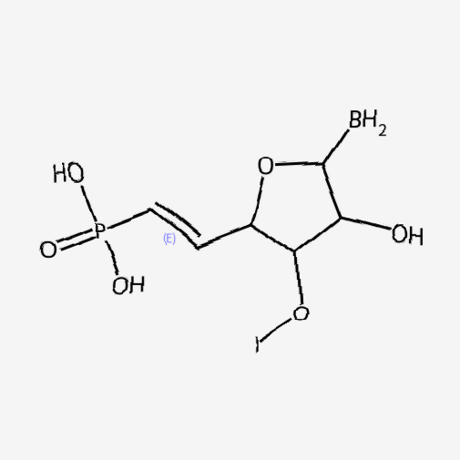 BC1OC(/C=C/P(=O)(O)O)C(OI)C1O